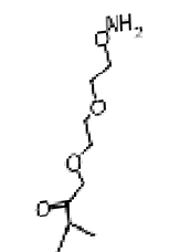 CC(C)C(=O)COCCOCCON